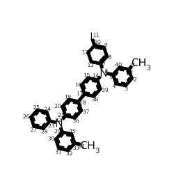 Cc1cccc(N(C2=CC=C(I)CC2)c2ccc(-c3ccc(N(c4ccccc4)c4cccc(C)c4)cc3)cc2)c1